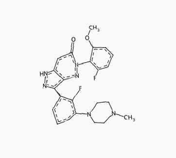 COc1cccc(F)c1-n1nc2c(-c3cccc(N4CCN(C)CC4)c3F)n[nH]c2cc1=O